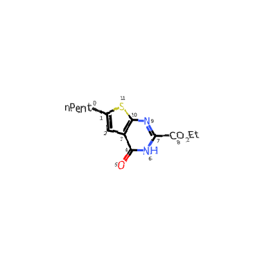 CCCCCc1cc2c(=O)[nH]c(C(=O)OCC)nc2s1